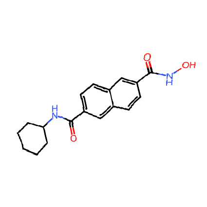 O=C(NO)c1ccc2cc(C(=O)NC3CCCCC3)ccc2c1